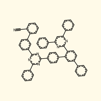 N#Cc1ccccc1-c1cccc(-c2nc(-c3ccccc3)nc(-c3ccc(-c4cc(-c5ccccc5)ccc4-c4nc(-c5ccccc5)cc(-c5ccccc5)n4)cc3)n2)c1